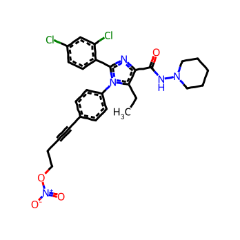 CCc1c(C(=O)NN2CCCCC2)nc(-c2ccc(Cl)cc2Cl)n1-c1ccc(C#CCCO[N+](=O)[O-])cc1